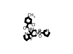 Cc1ccc(C(=O)NCC2(c3ncccc3F)CCN(S(=O)(=O)c3cccnc3)CC2)c(Cl)c1